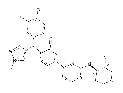 Cn1cc(C(c2ccc(Cl)c(F)c2)n2ccc(-c3ccnc(N[C@@H]4CCOC[C@H]4F)n3)cc2=O)cn1